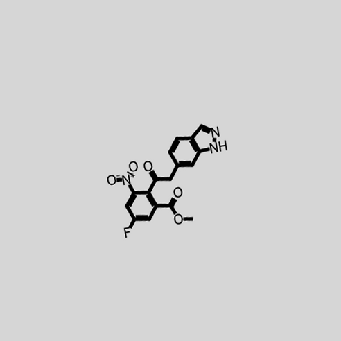 COC(=O)c1cc(F)cc([N+](=O)[O-])c1C(=O)Cc1ccc2cn[nH]c2c1